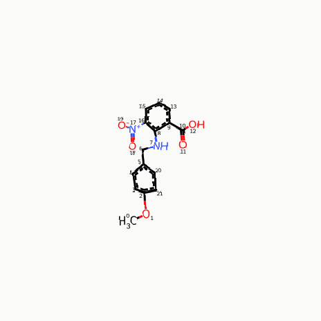 COc1ccc(CNc2c(C(=O)O)cccc2[N+](=O)[O-])cc1